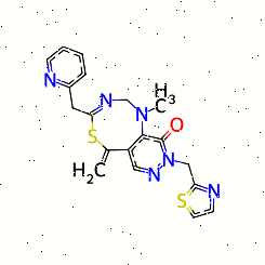 C=C1S/C(Cc2ccccn2)=N\CN(C)c2c1cnn(Cc1nccs1)c2=O